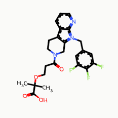 CC(C)(OCCC(=O)N1CCc2c(n(Cc3cc(F)c(F)c(F)c3)c3ncccc23)C1)C(=O)O